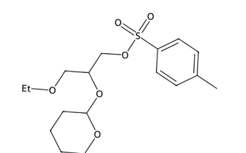 CCOCC(COS(=O)(=O)c1ccc(C)cc1)OC1CCCCO1